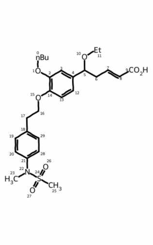 CCCCOc1cc(C(CC=CC(=O)O)OCC)ccc1OCCc1ccc(N(C)S(C)(=O)=O)cc1